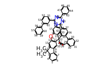 CC1(C)c2ccccc2-c2cc3c(cc21)Oc1ccccc1C31c2ccccc2-c2ccccc2-c2ccc(-c3nc(-c4ccccc4)nc(-c4cccc(-c5ccccc5)c4)n3)cc21